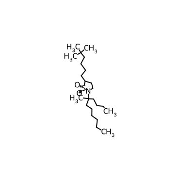 CCCCCCC(C)(CCCC)N1CCC(CCCCC(C)(C)C)S1(=O)=O